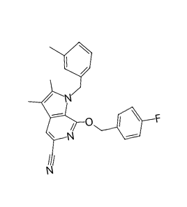 Cc1cccc(Cn2c(C)c(C)c3cc(C#N)nc(OCc4ccc(F)cc4)c32)c1